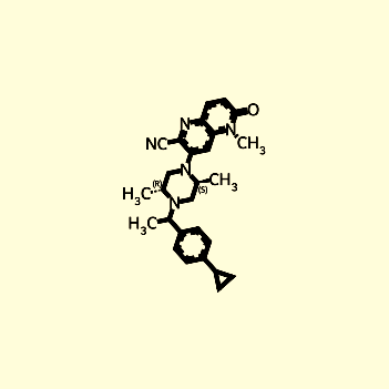 CC(c1ccc(C2CC2)cc1)N1C[C@H](C)N(c2cc3c(ccc(=O)n3C)nc2C#N)C[C@H]1C